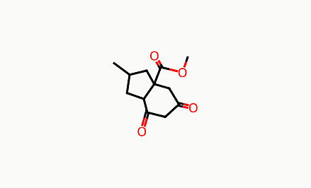 COC(=O)C12CC(=O)CC(=O)C1CC(C)C2